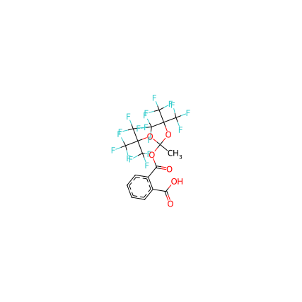 CC(OC(=O)c1ccccc1C(=O)O)(OC(C(F)(F)F)(C(F)(F)F)C(F)(F)F)OC(C(F)(F)F)(C(F)(F)F)C(F)(F)F